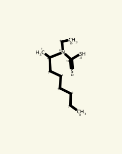 CCCCCCC(C)N(CC)C(=S)S